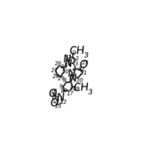 Cc1cc(-c2nn(-c3ccc(N4CCOC4=O)cc3C)ccc2=O)n(-c2ccccc2)n1